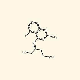 CSCC/C(CO)=N\c1nc(N)nc2cccc(F)c12